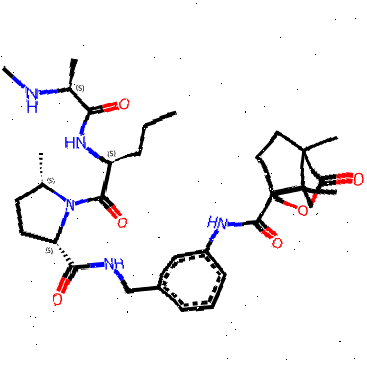 CCC[C@H](NC(=O)[C@H](C)NC)C(=O)N1[C@@H](C)CC[C@H]1C(=O)NCc1cccc(NC(=O)C23CCC(C)(C(=O)O2)C3(C)C)c1